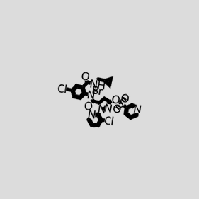 O=C(NCC1CC1)c1cc(Cl)ccc1N(Br)C(=O)C1CC(OS(=O)(=O)c2cccnc2)=NN1c1ncccc1Cl